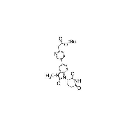 Cn1c(=O)n(C2CCC(=O)NC2=O)c2ccc(-c3ccc(CC(=O)OC(C)(C)C)nc3)cc21